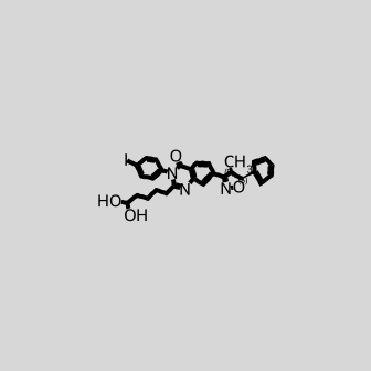 C[C@@H]1C(c2ccc3c(=O)n(-c4ccc(I)cc4)c(CCCCC(O)O)nc3c2)=NO[C@@H]1c1ccccc1